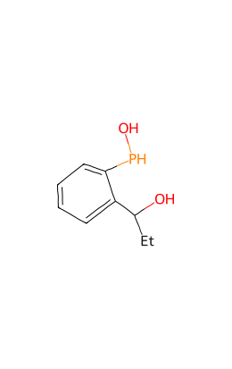 CCC(O)c1ccccc1PO